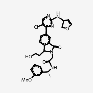 COc1cccc([C@@H](C)NC(=O)CN2C(=O)c3cc(-c4nc(NC5C=COC5)ncc4Cl)ccc3C2CCO)c1